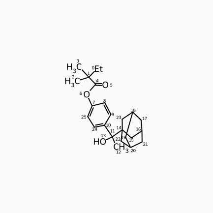 CCC(C)(C)C(=O)Oc1ccc(C(C)(O)C23CC4CC(CC(C4)C2)C3)cc1